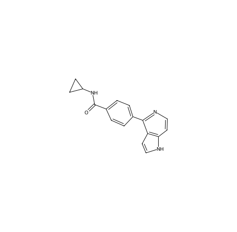 O=C(NC1CC1)c1ccc(-c2nccc3[nH]ccc23)cc1